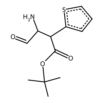 CC(C)(C)OC(=O)C(c1cccs1)C(N)C=O